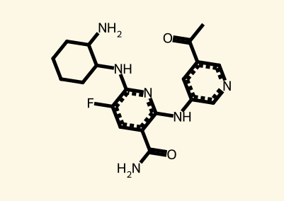 CC(=O)c1cncc(Nc2nc(NC3CCCCC3N)c(F)cc2C(N)=O)c1